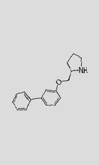 c1ccc(-c2cccc(OC[C@H]3CCCN3)c2)cc1